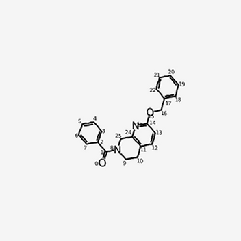 O=C(c1ccccc1)N1CCc2ccc(OCc3ccccc3)nc2C1